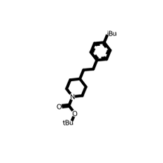 CCC(C)c1ccc(CCC2CCN(C(=O)OC(C)(C)C)CC2)cc1